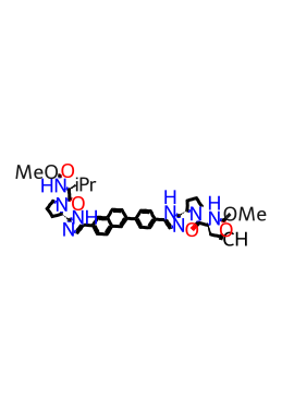 C#CC[C@H](NC(=O)OC)C(=O)N1CCC[C@H]1c1ncc(-c2ccc(-c3ccc4cc(-c5cnc([C@@H]6CCCN6C(=O)[C@@H](NC(=O)OC)C(C)C)[nH]5)ccc4c3)cc2)[nH]1